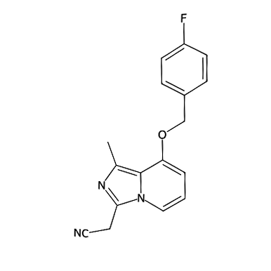 Cc1nc(CC#N)n2cccc(OCc3ccc(F)cc3)c12